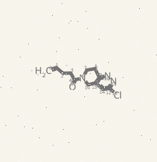 C=CCCC(=O)N1CCc2nnc(Cl)cc2C1